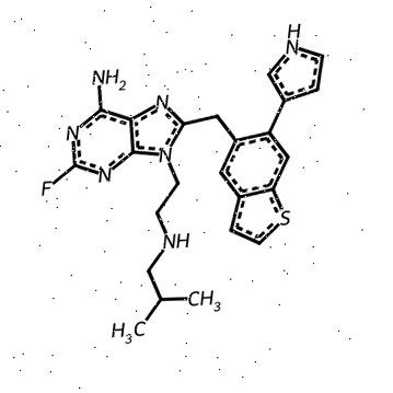 CC(C)CNCCn1c(Cc2cc3ccsc3cc2-c2cc[nH]c2)nc2c(N)nc(F)nc21